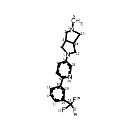 CN1CC2CN(c3ccc(-c4cccc(C(F)(F)F)c4)nc3)CC2C1